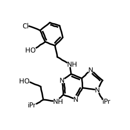 CC(C)C(CO)Nc1nc(NCc2cccc(Cl)c2O)c2ncn(C(C)C)c2n1